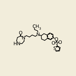 CCCN(CCCCN1CCNCCC1=O)C1CCc2cc(OS(=O)(=O)c3cccs3)ccc2C1